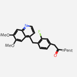 CCCCCC(=O)Cc1ccc(Cc2ccnc3cc(OC)c(OC)cc23)c(F)c1